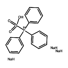 O=S(=O)(O)[PH](c1ccccc1)(c1ccccc1)c1ccccc1.[NaH].[NaH].[NaH]